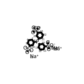 O=S(=O)([O-])c1cccc(P(c2cccc(S(=O)(=O)[O-])c2)c2cccc(S(=O)(=O)[O-])c2)c1.[Na+].[Na+].[Na+]